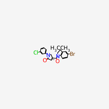 CC1(C)CN(C(=O)[C@H]2CC(=O)N(c3cccc(Cl)c3)C2)c2ccc(Br)cc21